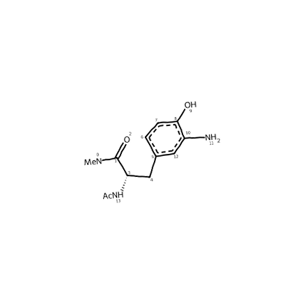 CNC(=O)[C@H](Cc1ccc(O)c(N)c1)NC(C)=O